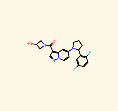 O=C(c1cnn2ccc(N3CCCC3c3cc(F)ccc3F)cc12)N1CC(O)C1